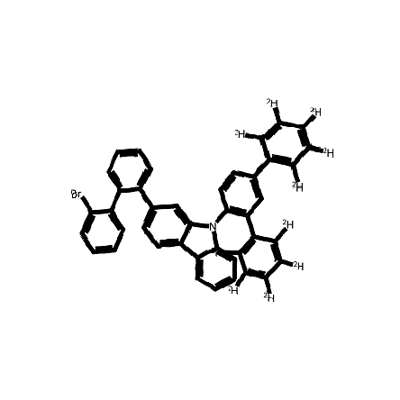 [2H]c1c([2H])c([2H])c(-c2ccc(-n3c4ccccc4c4ccc(-c5ccccc5-c5ccccc5Br)cc43)c(-c3c([2H])c([2H])c([2H])c([2H])c3[2H])c2)c([2H])c1[2H]